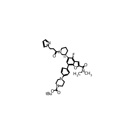 CN(C)C(=O)c1cc2c(F)c([C@@H]3CCCN(C(=O)CCn4cccn4)C3)cc(-c3ccc(N4CCN(C(=O)OC(C)(C)C)CC4)cc3)c2o1